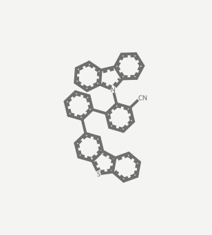 N#Cc1cccc(-c2ccccc2-c2ccc3sc4ccccc4c3c2)c1-n1c2ccccc2c2ccccc21